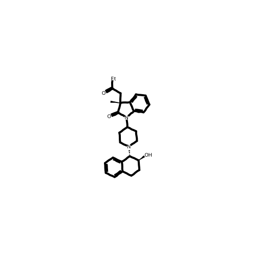 CCC(=O)C[C@@]1(C)C(=O)N(C2CCN([C@H]3c4ccccc4CC[C@@H]3O)CC2)c2ccccc21